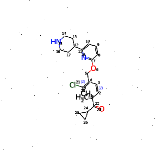 C=C(/C=C\C(COc1cccc(C2CCNCC2)n1)=C(/C)Cl)C(=O)C1CC1